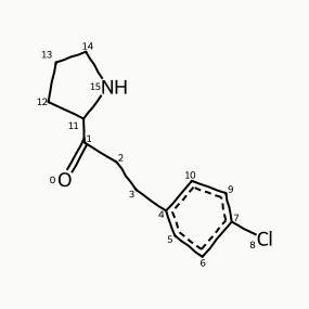 O=C(CCc1ccc(Cl)cc1)C1CCCN1